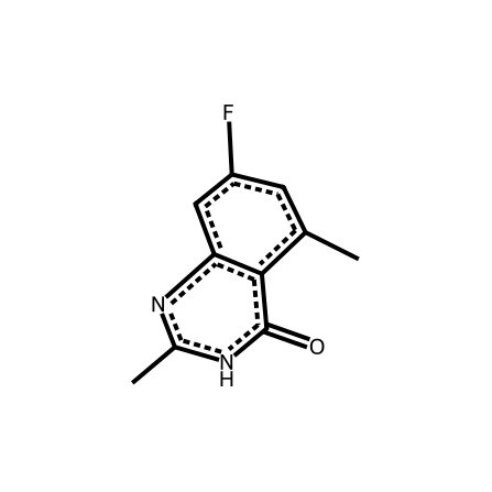 Cc1nc2cc(F)cc(C)c2c(=O)[nH]1